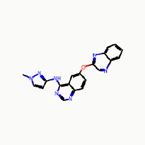 Cn1ccc(Nc2ncnc3ccc(Oc4cnc5ccccc5n4)cc23)n1